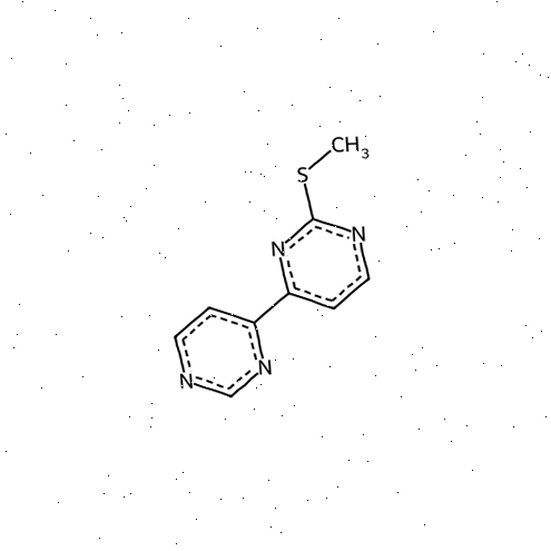 CSc1nccc(-c2ccncn2)n1